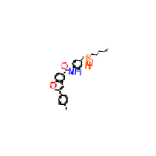 CCCCC[PH](=O)Cc1ccc(NC(=O)c2ccc3c(c2)C=C(c2ccc(C)cc2)CO3)cc1